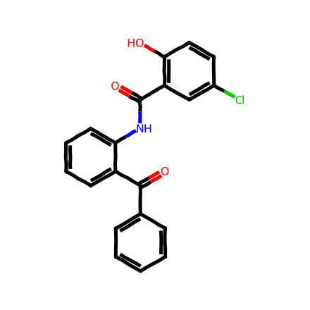 O=C(Nc1ccccc1C(=O)c1ccccc1)c1cc(Cl)ccc1O